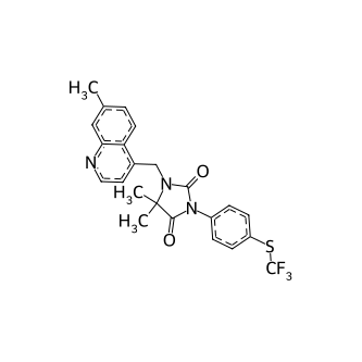 Cc1ccc2c(CN3C(=O)N(c4ccc(SC(F)(F)F)cc4)C(=O)C3(C)C)ccnc2c1